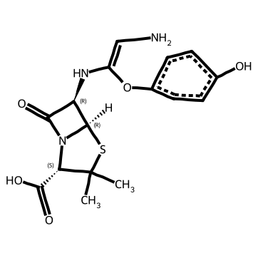 CC1(C)S[C@@H]2[C@H](NC(=CN)Oc3ccc(O)cc3)C(=O)N2[C@H]1C(=O)O